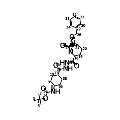 CC(C)(C)OC(=O)N[C@H]1CC[C@@H](C(=O)NNC(=O)[C@@H]2CCC3CN2C(=O)N3OCc2ccccc2)CC1